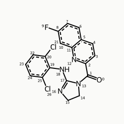 O=C(c1ccc2ccc(F)cc2n1)N1CCN=C1Nc1c(Cl)cccc1Cl